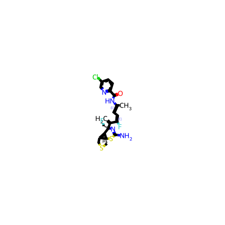 C=C(/C(F)=C\C=C(/C)NC(=O)c1ccc(Cl)cn1)[C@@]1(CF)N=C(N)S[C@@]23CSCC2=C13